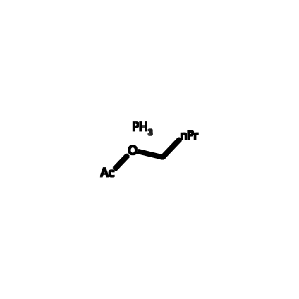 CCCCOC(C)=O.P